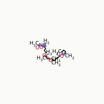 C=C(CCCOC(C)(C)CCOC(C)(C)CCCC(=O)ON1C(=C)CCC1=C)ONC(C)=O